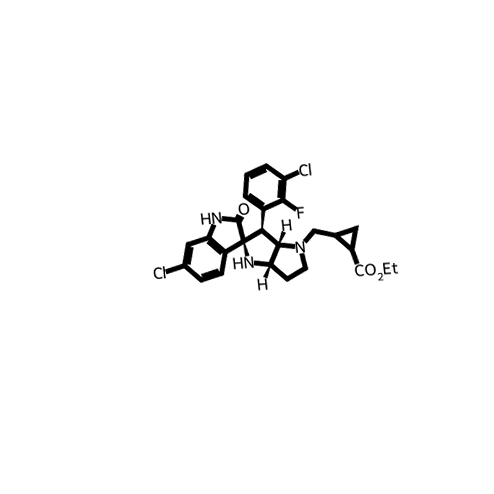 CCOC(=O)C1CC1CN1CC[C@@H]2N[C@@]3(C(=O)Nc4cc(Cl)ccc43)[C@@H](c3cccc(Cl)c3F)[C@@H]21